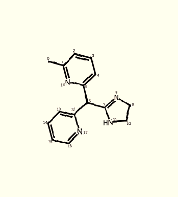 Cc1cccc(C(C2=NCCN2)c2ccccn2)n1